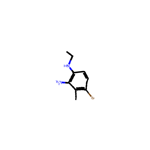 CCNc1ccc(Br)c(C)c1N